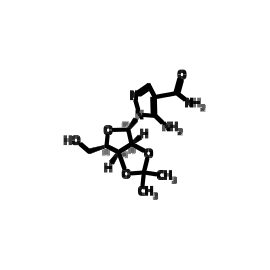 CC1(C)O[C@@H]2[C@H](O1)[C@@H](CO)O[C@H]2n1ncc(C(N)=O)c1N